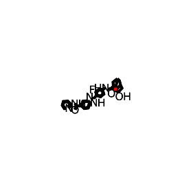 O=C(Nc1ccccn1)c1ccc2[nH]c(-c3ccc(NC(=O)C45CC6CC(CC(O)(C6)C4)C5)cc3F)nc2c1